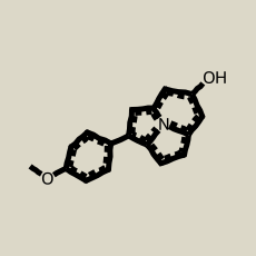 COc1ccc(-c2cc3cc(O)cc4ccc2n43)cc1